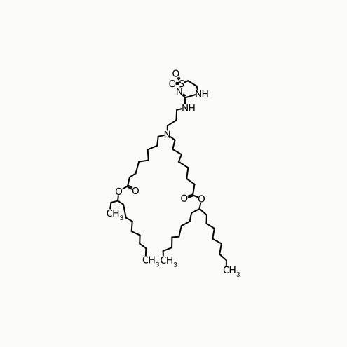 CCCCCCCCC(CC)OC(=O)CCCCCCCN(CCCCCCCC(=O)OC(CCCCCCCC)CCCCCCCC)CCCNC1=NS(=O)(=O)CCN1